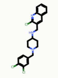 Clc1ccc(CN2CCC(NCc3cc4ccccc4nc3Cl)CC2)cc1Cl